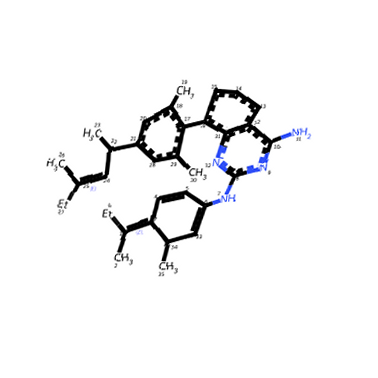 CC/C(C)=C1\C=CC(Nc2nc(N)c3cccc(-c4c(C)cc(C(C)/C=C(\C)CC)cc4C)c3n2)=CC1C